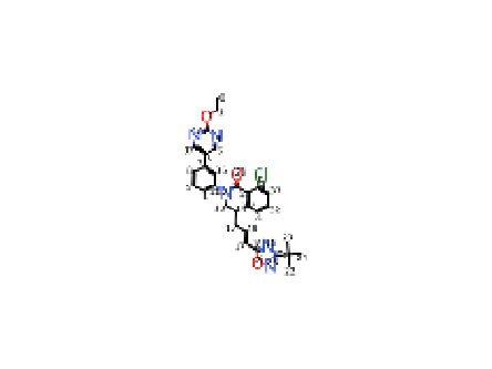 CCOc1ncc(-c2cccc(N(CCCCCc3nc(C(C)(C)C)no3)C(=O)c3ccccc3Cl)c2)cn1